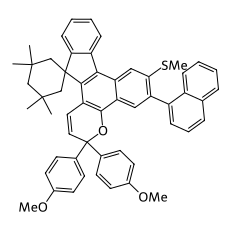 COc1ccc(C2(c3ccc(OC)cc3)C=Cc3c4c(c5cc(SC)c(-c6cccc7ccccc67)cc5c3O2)-c2ccccc2C42CC(C)(C)CC(C)(C)C2)cc1